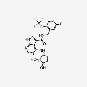 O=C(NCc1cc(F)ccc1OC(F)(F)F)c1n[nH]c2ncnc(N[C@@H]3CC[C@@H](O)[C@H]3O)c12